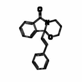 O=C1c2ccccc2C2(C=Cc3ccccc3)OCCCN12